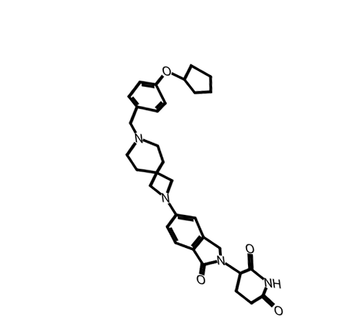 O=C1CCC(N2Cc3cc(N4CC5(CCN(Cc6ccc(OC7CCCC7)cc6)CC5)C4)ccc3C2=O)C(=O)N1